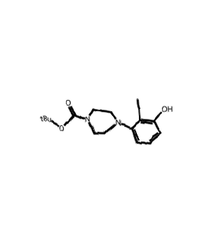 Cc1c(O)cccc1N1CCN(C(=O)OC(C)(C)C)CC1